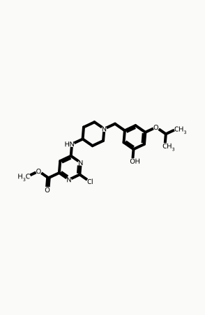 COC(=O)c1cc(NC2CCN(Cc3cc(O)cc(OC(C)C)c3)CC2)nc(Cl)n1